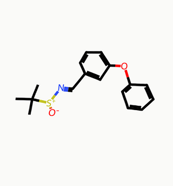 CC(C)(C)[S+]([O-])N=Cc1cccc(Oc2ccccc2)c1